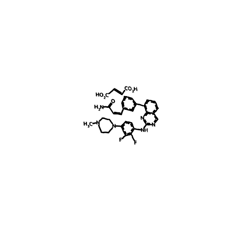 CN1CCN(c2ccc(Nc3ncc4cccc(-c5cccc(C=CC(N)=O)c5)c4n3)c(F)c2F)CC1.O=C(O)C=CC(=O)O